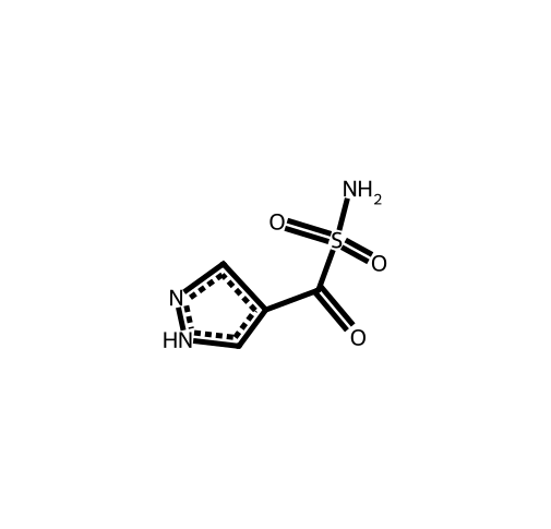 NS(=O)(=O)C(=O)c1cn[nH]c1